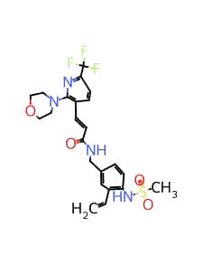 C=Cc1cc(CNC(=O)/C=C/c2ccc(C(F)(F)F)nc2N2CCOCC2)ccc1NS(C)(=O)=O